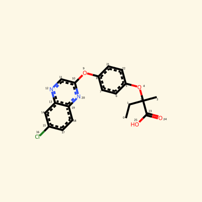 CCC(C)(Oc1ccc(Oc2cnc3cc(Cl)ccc3n2)cc1)C(=O)O